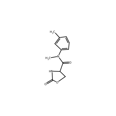 Cc1cccc(N(C)C(=O)C2COC(=O)N2)c1